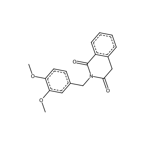 COc1ccc(CN2C(=O)Cc3ccccc3C2=O)cc1OC